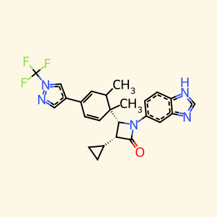 CC1C=C(c2cnn(C(F)(F)F)c2)C=CC1(C)[C@H]1[C@@H](C2CC2)C(=O)N1c1ccc2[nH]cnc2c1